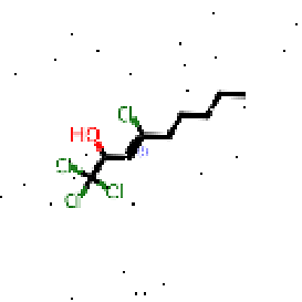 CCCCC/C(Cl)=C/C(O)C(Cl)(Cl)Cl